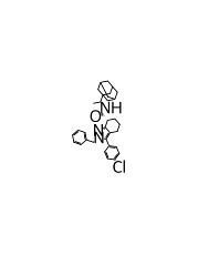 CC(NC(=O)[C@@H]1CCCc2c1nn(Cc1ccccc1)c2-c1ccc(Cl)cc1)C12CC3CC(CC(C3)C1)C2